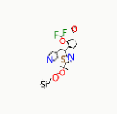 C1C2CC1O2.CC(C)(OCOCC[Si](C)(C)C)c1cnc(C(Cc2ccncc2)c2ccccc2OC(F)F)s1